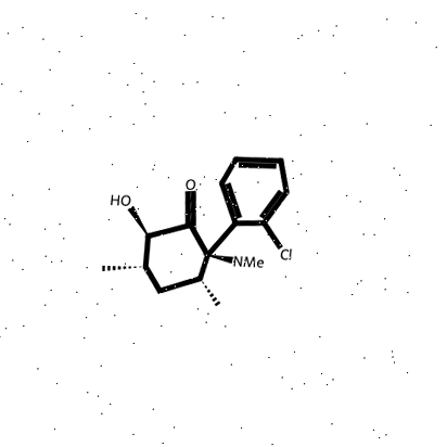 CN[C@]1(c2ccccc2Cl)C(=O)[C@H](O)[C@@H](C)C[C@H]1C